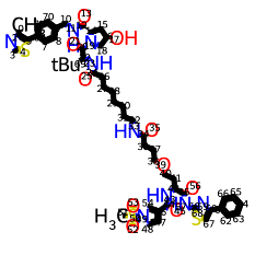 Cc1ncsc1-c1ccc(CNC(=O)[C@@H]2C[C@@H](O)CN2C(=O)C(NC(=O)CCCCCCCNC(=O)CCCOCCC(NC(=O)c2ccn(S(C)(=O)=O)c2)C(=O)Nc2nc(-c3ccccc3)cs2)C(C)(C)C)cc1